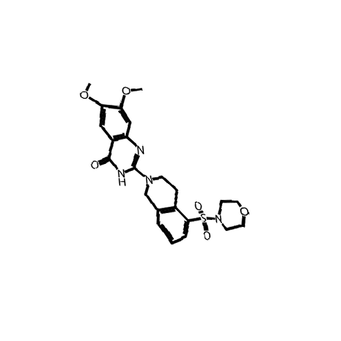 COc1cc2nc(N3CCc4c(cccc4S(=O)(=O)N4CCOCC4)C3)[nH]c(=O)c2cc1OC